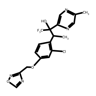 Cc1cnc(C(O)(C(C)c2ccc(OCc3ncon3)cc2Cl)C(F)(F)F)cn1